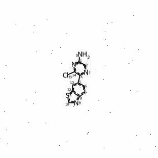 Nc1cnc(-c2ccc3ncsc3c2)c(Cl)n1